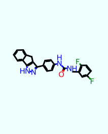 O=C(NCc1cc(F)ccc1F)Nc1ccc(-c2n[nH]c3c2Cc2ccccc2-3)cc1